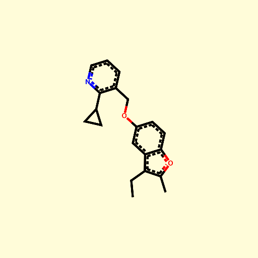 CCc1c(C)oc2ccc(OCc3cccnc3C3CC3)cc12